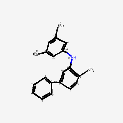 Cc1ccc(-c2ccccc2)cc1Nc1cc(C(C)(C)C)cc(C(C)(C)C)c1